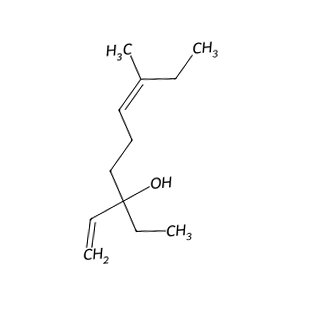 C=CC(O)(CC)CCC=C(C)CC